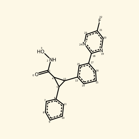 O=C(NO)C1C(c2ccccc2)C1c1cccc(-c2ncc(F)cn2)c1